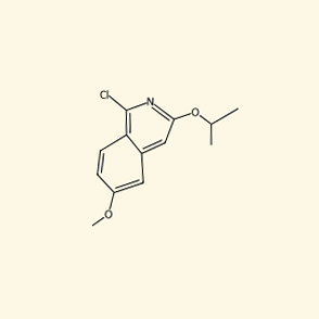 COc1ccc2c(Cl)nc(OC(C)C)cc2c1